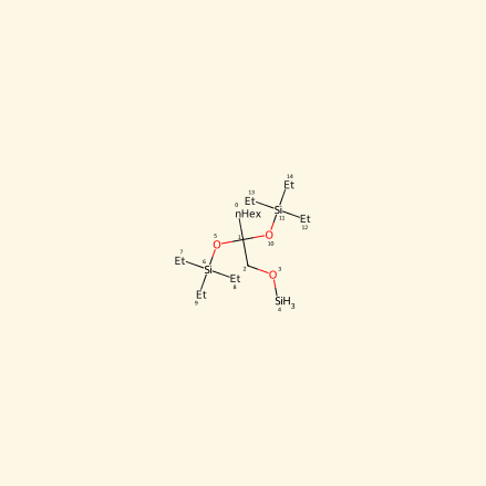 CCCCCCC(CO[SiH3])(O[Si](CC)(CC)CC)O[Si](CC)(CC)CC